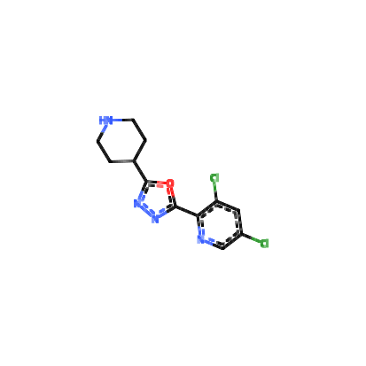 Clc1cnc(-c2nnc(C3CCNCC3)o2)c(Cl)c1